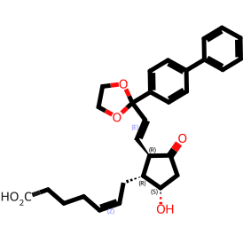 O=C(O)CCC/C=C\C[C@H]1[C@@H](O)CC(=O)[C@@H]1/C=C/C1(c2ccc(-c3ccccc3)cc2)OCCO1